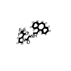 O=C(CNCCC1c2ccccc2CCc2ccccc21)N1CCCC1C(=O)C(F)(F)F